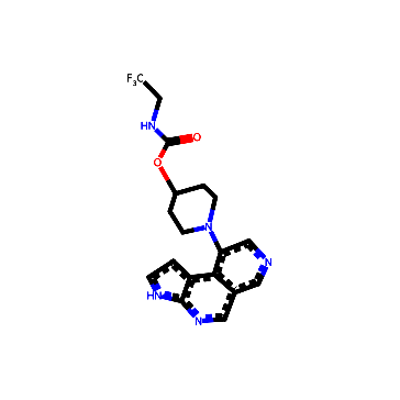 O=C(NCC(F)(F)F)OC1CCN(c2cncc3cnc4[nH]ccc4c23)CC1